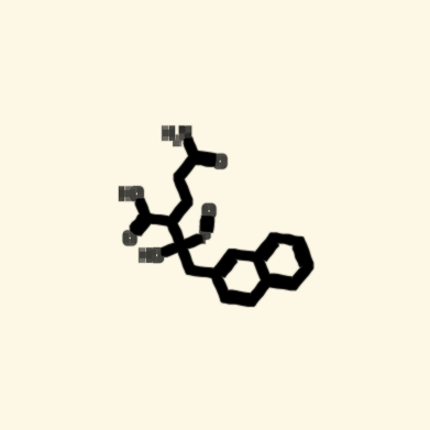 NC(=O)CCC(C(=O)O)C(O)(Cc1ccc2ccccc2c1)P=O